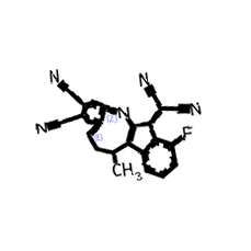 CC1C/C=c2\cc(C#N)c(C#N)c\c2=N\C2=C1c1cccc(F)c1C2=C(C#N)C#N